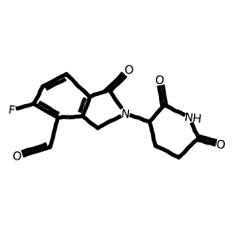 O=Cc1c(F)ccc2c1CN(C1CCC(=O)NC1=O)C2=O